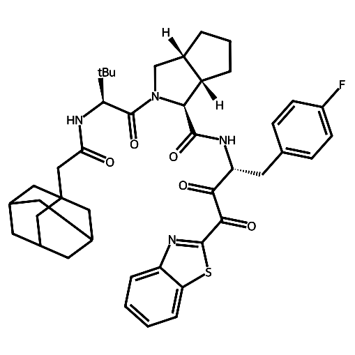 CC(C)(C)[C@H](NC(=O)CC12CC3CC(CC(C3)C1)C2)C(=O)N1C[C@@H]2CCC[C@@H]2[C@H]1C(=O)N[C@H](Cc1ccc(F)cc1)C(=O)C(=O)c1nc2ccccc2s1